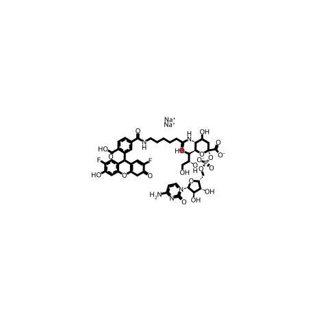 Nc1ccn([C@@H]2O[C@H](COP(=O)([O-])O[C@@]3(C(=O)[O-])CC(O)[C@@H](NC(=O)CCCCCNC(=O)c4ccc(C(=O)O)c(C5C6=C(CC(=O)C(F)=C6)Oc6cc(O)c(F)cc65)c4)[C@H](C(O)[C@H](O)CO)O3)[C@H](O)[C@H]2O)c(=O)n1.[Na+].[Na+]